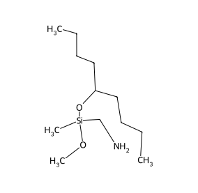 CCCCC(CCCC)O[Si](C)(CN)OC